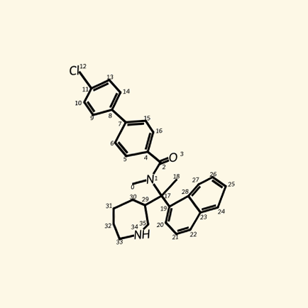 CN(C(=O)c1ccc(-c2ccc(Cl)cc2)cc1)C(C)(c1cccc2ccccc12)C1CCCCNC1